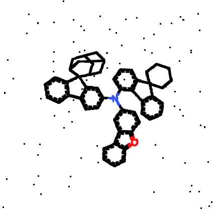 c1ccc2c(c1)-c1c(N(c3ccc4c(c3)C3(c5ccccc5-4)C4CC5CC(C4)CC3C5)c3ccc4oc5ccccc5c4c3)cccc1C21CCCCC1